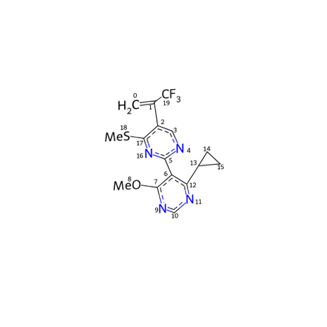 C=C(c1cnc(-c2c(OC)ncnc2C2CC2)nc1SC)C(F)(F)F